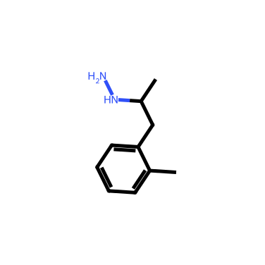 Cc1ccccc1CC(C)NN